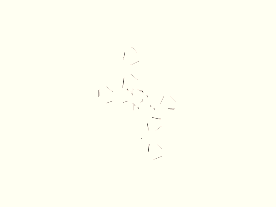 CC1(C)c2ccccc2-c2cc3c4ccccc4n(-c4nc(=O)n5c(-c6ccccc6)cc(-c6ccccc6)cc5n4)c3cc21